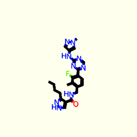 CCCCc1n[nH]cc1C(=O)NCc1ccc(-c2ncnc(Nc3cnn(C)c3)n2)c(F)c1C